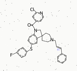 O=C(c1ccnc(Cl)c1)N1CC2(CCN(C/C=C/c3ccccc3)CC2)c2cc(Sc3ccc(F)cc3)ccc21